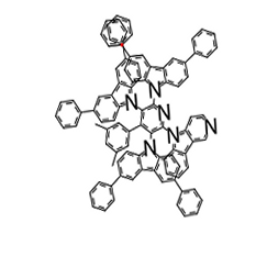 Cc1cc(C)cc(-c2c(-n3c4ccc(-c5ccccc5)cc4c4cc(-c5ccccc5)ccc43)c(-n3c4ccccc4c4cnccc43)nc(-n3c4ccc(-c5ccccc5)cc4c4cc(-c5ccccc5)ccc43)c2-n2c3ccc(-c4ccccc4)cc3c3cc(-c4ccccc4)ccc32)c1